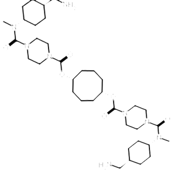 CN(C(=O)N1CCN(C(=O)O[C@H]2CCC[C@@H](OC(=O)N3CCN(C(=O)N(C)[C@H]4CC[C@H](CN)CC4)CC3)CCC2)CC1)[C@H]1CC[C@H](CN)CC1